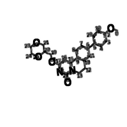 COc1ccc(-c2ccc3c(c2)CCn2c-3cc(OCC3COCCO3)nc2=O)cc1